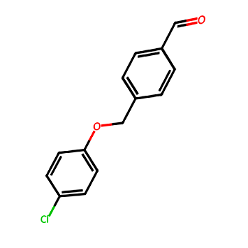 O=Cc1ccc(COc2ccc(Cl)cc2)cc1